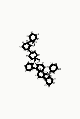 CC1(n2c3ccccc3c3c4ccc5c6ccccc6n(-c6ccccc6)c5c4ccc32)C=CC(c2cccc3c2oc2ccccc23)=CC1